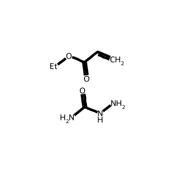 C=CC(=O)OCC.NNC(N)=O